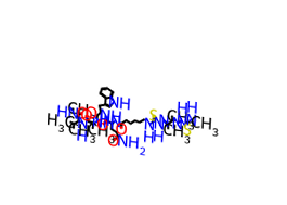 CNC(=O)C(NC(=O)C(C)NC(=O)C(Cc1c[nH]c2ccccc12)NC(=O)C(CCC(N)=O)NC(=O)CCCCCNC(=S)N/N=C(C)/C(C)=N/NC(=S)NC)C(C)C